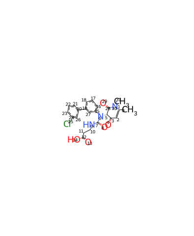 CC1=CC(=O)[C@H](N(C(=O)NCCC(=O)O)c2cccc(-c3cccc(Cl)c3)c2)C(=O)N1C